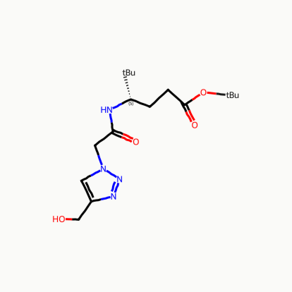 CC(C)(C)OC(=O)CC[C@H](NC(=O)Cn1cc(CO)nn1)C(C)(C)C